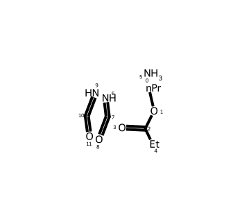 CCCOC(=O)CC.N.N=C=O.N=C=O